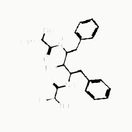 CC(C)[C@H](N)C(=O)NC(Cc1ccccc1)C(O)C(Cc1ccccc1)NC(=O)[C@@H](N)C(C)C